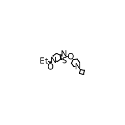 CCC(=O)N1CCc2nc(OC3CCN(C4CCC4)CC3)sc2C1